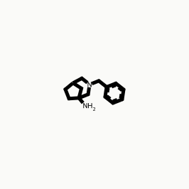 NC12CCC(CN(Cc3ccccc3)C1)C2